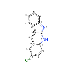 Clc1ccc2[nH]c3nc4ccccc4c-3cc2c1